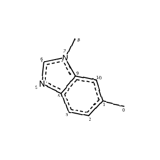 Cc1ccc2n[c]n(C)c2c1